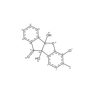 Cc1ccc2c(c1Cl)OC1(O)c3ccccc3C(=O)C21O